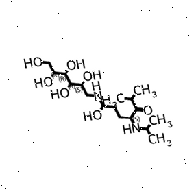 CC(C)N[C@@H](CCC(O)NC[C@H](O)[C@@H](O)[C@H](O)[C@H](O)CO)C(=O)C(C)C